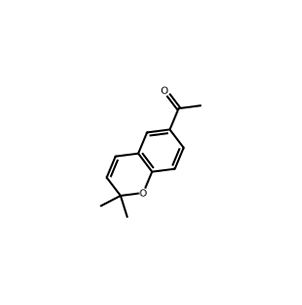 CC(=O)c1ccc2c(c1)C=CC(C)(C)O2